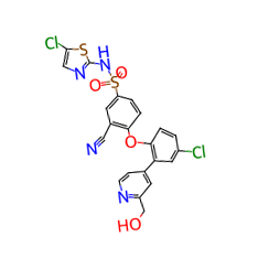 N#Cc1cc(S(=O)(=O)Nc2ncc(Cl)s2)ccc1Oc1ccc(Cl)cc1-c1ccnc(CO)c1